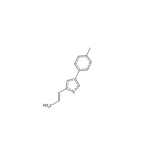 Cc1ccc(-c2csc(/C=C/C(=O)O)c2)cc1